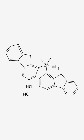 Cl.Cl.[CH3][Zr]([CH3])([SiH3])([c]1cccc2c1Cc1ccccc1-2)[c]1cccc2c1Cc1ccccc1-2